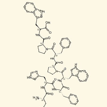 N[C@@H](CS)C(=O)N[C@@H](Cc1c[nH]cn1)C(=O)N[C@@H](Cc1ccccc1)C(=O)N[C@@H](Cc1c[nH]c2ccccc12)C(=O)N1CCC[C@H]1C(=O)N[C@@H](Cc1ccccc1)C(=O)N1CCC[C@H]1C(=O)N[C@@H](Cc1c[nH]c2ccccc12)C(=O)O